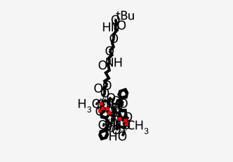 CN1C(=O)[C@@]23C[C@]4([C@]56C[C@@]78SS[C@@](COC(=O)OCCCCC(=O)NCCOCCOCCNC(=O)OC(C)(C)C)(C(=O)N7[C@H]5N(S(=O)(=O)c5ccccc5)c5ccccc56)N(C)C8=O)c5ccccc5N(S(=O)(=O)c5ccccc5)[C@@H]4N2C(=O)[C@]1(CO)SS3